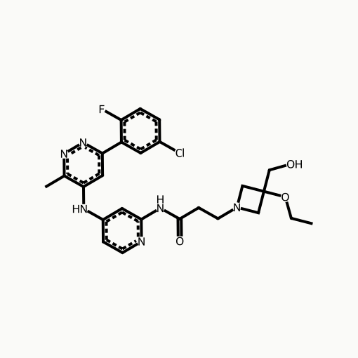 CCOC1(CO)CN(CCC(=O)Nc2cc(Nc3cc(-c4cc(Cl)ccc4F)nnc3C)ccn2)C1